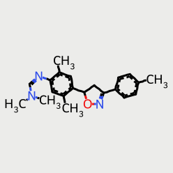 Cc1ccc(C2=NOC(c3cc(C)c(/N=C\N(C)C)cc3C)C2)cc1